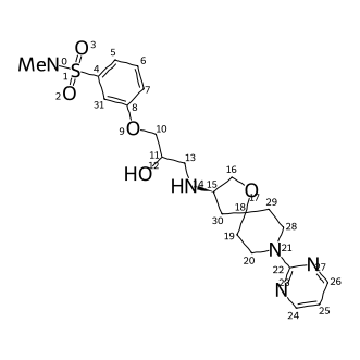 CNS(=O)(=O)c1cccc(OCC(O)CN[C@H]2COC3(CCN(c4ncccn4)CC3)C2)c1